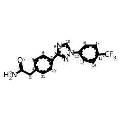 NC(=O)Cc1ccc(-c2ncn(-c3ccc(C(F)(F)F)cc3)n2)cc1